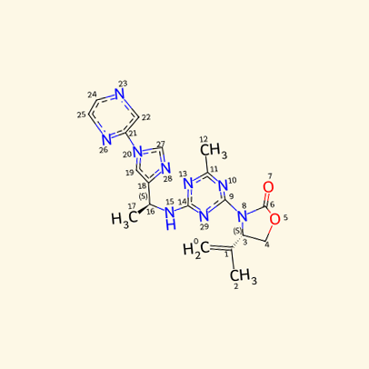 C=C(C)[C@H]1COC(=O)N1c1nc(C)nc(N[C@@H](C)c2cn(-c3cnccn3)cn2)n1